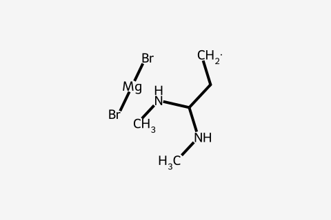 [Br][Mg][Br].[CH2]CC(NC)NC